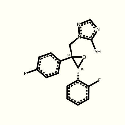 Fc1ccc([C@]2(Cn3ncnc3S)O[C@@H]2c2ccccc2F)cc1